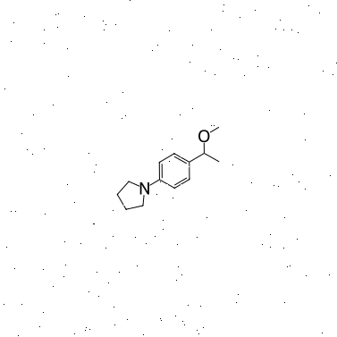 COC(C)c1ccc(N2CCCC2)cc1